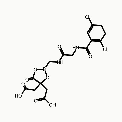 O=C(O)CC1(CC(=O)O)OB(CNC(=O)CNC(=O)C2=C(Cl)CCC(Cl)=C2)OC1=O